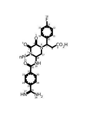 CCCN1C(=O)C(=O)N(C(CC(=O)O)c2ccc(F)cc2)CC1NC(=O)c1ccc(C(=N)N)cc1